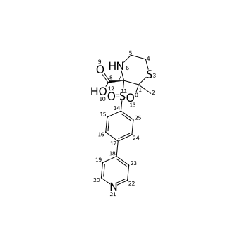 CC1(C)SCCN[C@@]1(C(=O)O)S(=O)(=O)c1ccc(-c2ccncc2)cc1